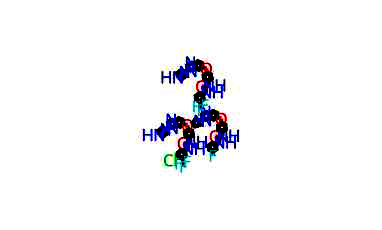 O=C(Nc1ccc(Oc2ccc3ncc(N4CCCC4)nc3c2)cc1)Nc1cccc(F)c1.O=C(Nc1ccc(Oc2ccc3ncc(N4CCNCC4)nc3c2)cc1)Nc1ccc(Cl)c(C(F)(F)F)c1.O=C(Nc1ccc(Oc2ccc3ncc(N4CCNCC4)nc3c2)cc1)Nc1cccc(C(F)(F)F)c1